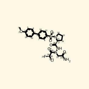 COc1ccc(-c2ccc(S(=O)(=O)N3CCC[C@H]3C(=O)NN(CC(N)=O)C(=O)[C@H](F)Cl)cc2)cc1